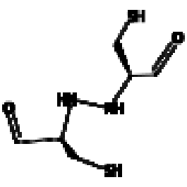 O=C[C@H](CS)NN[C@H](C=O)CS